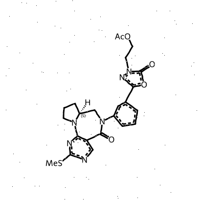 CSc1ncc2c(n1)N1CCC[C@H]1CN(c1cccc(-c3nn(CCOC(C)=O)c(=O)o3)c1)C2=O